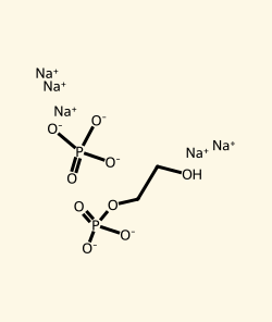 O=P([O-])([O-])OCCO.O=P([O-])([O-])[O-].[Na+].[Na+].[Na+].[Na+].[Na+]